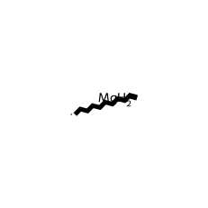 [CH2]CCCCCCCCC=C.[MgH2]